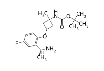 C[C@H](N)c1cc(F)ccc1OC1CC(C)(NC(=O)OC(C)(C)C)C1